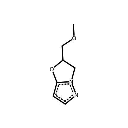 COCC1Cn2nccc2O1